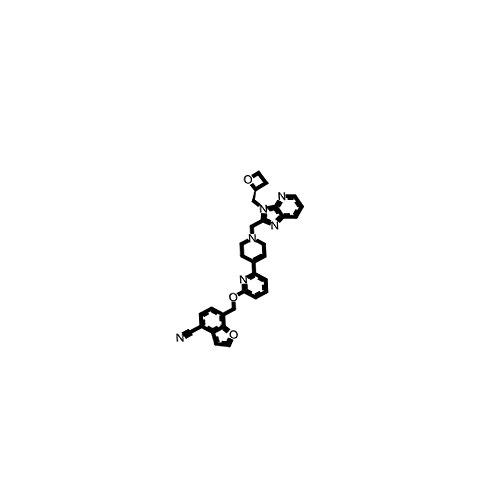 N#Cc1ccc(COc2cccc(C3=CCN(Cc4nc5cccnc5n4C[C@@H]4CCO4)CC3)n2)c2occc12